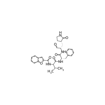 CC(C)C(NC(=O)c1cc2ccccc2o1)C(=O)N[C@@H](Cc1ccccc1)C(=O)N[C@H](C=O)C[C@@H]1CCNC1=O